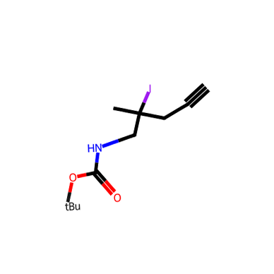 C#CCC(C)(I)CNC(=O)OC(C)(C)C